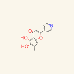 Cc1cc2oc(-c3ccncc3)cc(=O)c2c(O)c1O